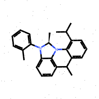 Cc1ccccc1N1c2cccc3c2N(c2c(C(C)C)cccc2C3C)[C@@H]1C